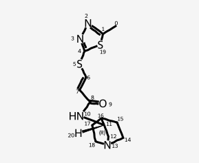 Cc1nnc(SC=CC(=O)N[C@H]2CN3CCC2CC3)s1